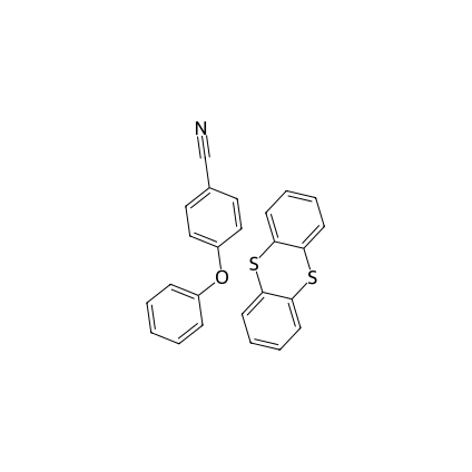 N#Cc1ccc(Oc2ccccc2)cc1.c1ccc2c(c1)Sc1ccccc1S2